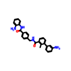 Cc1c(C(=O)NCc2ccc(C(=O)Nc3ccccc3N)cc2)cccc1-c1cccc(N)c1